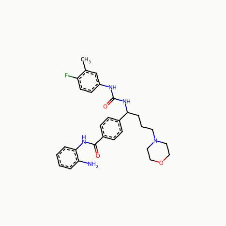 Cc1cc(NC(=O)NC(CCCN2CCOCC2)c2ccc(C(=O)Nc3ccccc3N)cc2)ccc1F